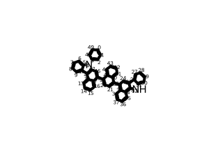 c1ccc(-n2c3ccccc3c3c4ccccc4c(-c4ccc(-c5cc6c7ccccc7[nH]c6c6ccccc56)c5ccccc45)cc32)cc1